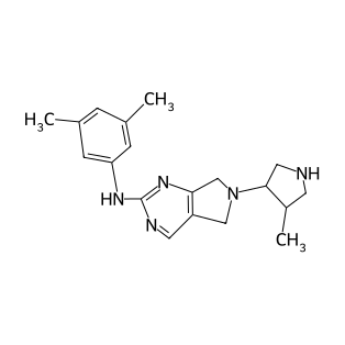 Cc1cc(C)cc(Nc2ncc3c(n2)CN(C2CNCC2C)C3)c1